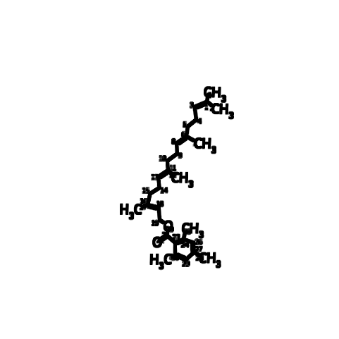 CC(C)=CCC/C(C)=C/CC/C(C)=C/CC/C(C)=C/COC(=O)c1c(C)cc(C)cc1C